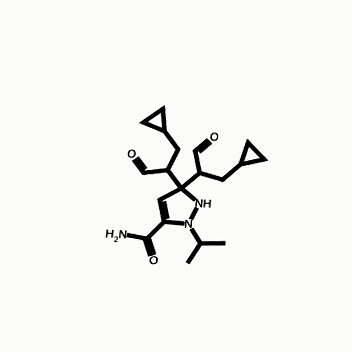 CC(C)N1NC(C(C=O)CC2CC2)(C(C=O)CC2CC2)C=C1C(N)=O